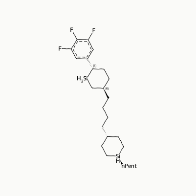 CCCCC[Si@H]1CC[C@H](CCCC[C@@H]2CC[C@@H](c3cc(F)c(F)c(F)c3)[SiH2]C2)CC1